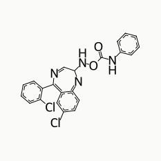 O=C(Nc1ccccc1)ONC1C=NC(c2ccccc2Cl)=c2cc(Cl)ccc2=N1